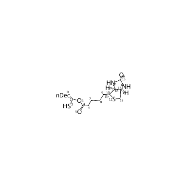 CCCCCCCCCCC(S)OC(=O)CCCC[C@@H]1SC[C@@H]2NC(=O)N[C@@H]21